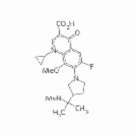 CNC(C)(C)C1CCN(c2c(F)cc3c(=O)c(C(=O)O)cn(C4CC4)c3c2OC)C1